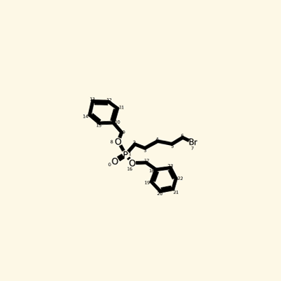 O=P(CCCCCBr)(OCc1ccccc1)OCc1ccccc1